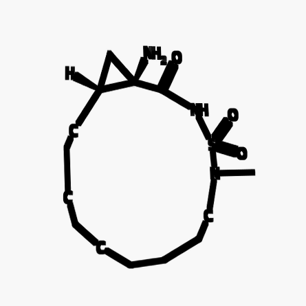 CN1CCCCCCCCC[C@@H]2C[C@]2(N)C(=O)NS1(=O)=O